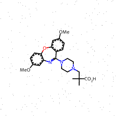 COc1ccc2c(c1)N=C(N1CCN(CC(C)(C)C(=O)O)CC1)c1ccc(OC)cc1O2